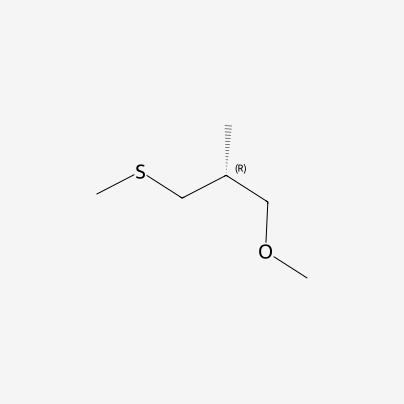 COC[C@@H](C)CSC